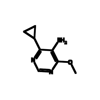 Bc1c(OC)ncnc1C1CC1